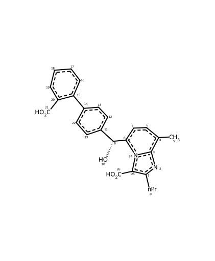 CCCc1nc2c(C)ccc([C@H](O)c3ccc(-c4ccccc4C(=O)O)cc3)n2c1C(=O)O